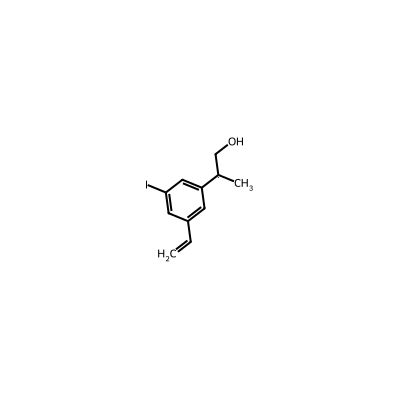 C=Cc1cc(I)cc([C](C)CO)c1